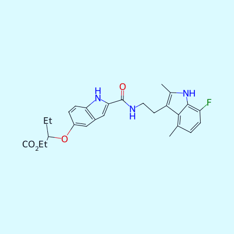 CCOC(=O)C(CC)Oc1ccc2[nH]c(C(=O)NCCc3c(C)[nH]c4c(F)ccc(C)c34)cc2c1